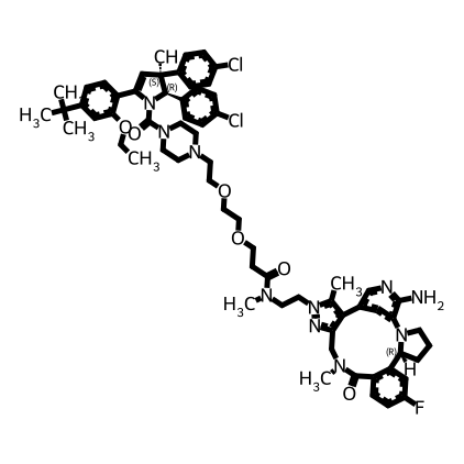 CCOc1cc(C(C)(C)C)ccc1C1=C[C@@](C)(c2ccc(Cl)cc2)[C@@H](c2ccc(Cl)cc2)N1C(=O)N1CCN(CCOCCOCCC(=O)N(C)CCn2nc3c(c2C)-c2cnc(N)c(c2)N2CCC[C@@H]2c2cc(F)ccc2C(=O)N(C)C3)CC1